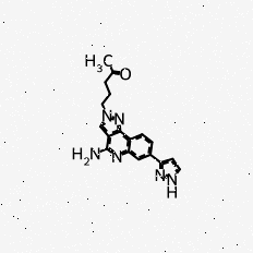 CC(=O)CCCn1cc2c(N)nc3cc(-c4cc[nH]n4)ccc3c2n1